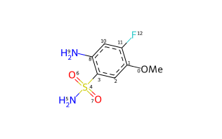 COc1cc(S(N)(=O)=O)c(N)cc1F